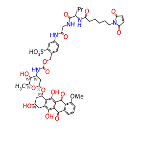 COc1cccc2c1C(=O)c1c(O)c3c(c(O)c1C2=O)C[C@@H](O)C[C@H]3O[C@@H]1C[C@H](NC(=O)OCc2ccc(NC(=O)CNC(=O)C(NC(=O)CCCCCN3C(=O)C=CC3=O)C(C)C)cc2S(=O)(=O)O)[C@H](O)[C@H](C)O1